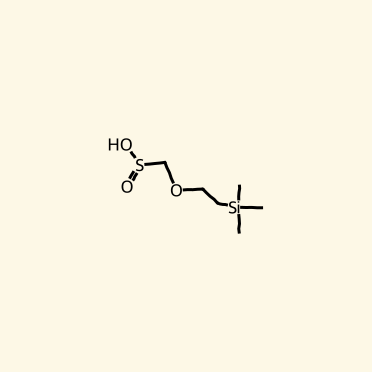 C[Si](C)(C)CCOCS(=O)O